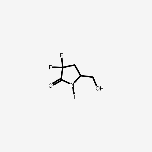 O=C1N(I)C(CO)CC1(F)F